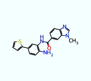 Cn1cnc2ccc(C(=O)Nc3cc(-c4cccs4)ccc3N)cc21